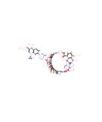 COc1c(N2CCN(C(=O)O[C@H]3[C@H](C)[C@H](O)[C@H](C)[C@@H](O)[C@@H](C)/C=C/C=C(/C)C(=O)NC4=C(N5CCOCC5)C(=O)c5c(c(O)c(C)c6c5C(=O)[C@@](C)(O/C=C/[C@H](OC)[C@H]3C)O6)C4=O)C(C)C2)c(F)cc2c(=O)c(C(=O)O)cn(C3CC3)c12